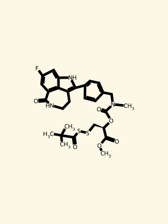 COC(=O)[C@@H](CSSC(=O)C(C)(C)C)OC(=O)N(C)Cc1ccc(-c2[nH]c3cc(F)cc4c3c2CCNC4=O)cc1